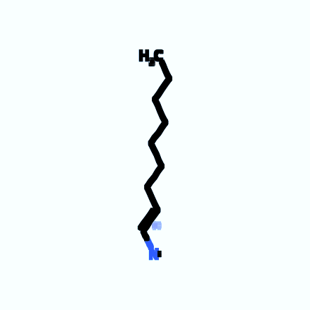 CCCCCCC/C=C/[N]